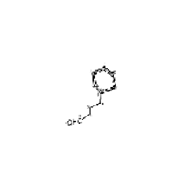 O=[C]C[CH]Cc1ccccc1